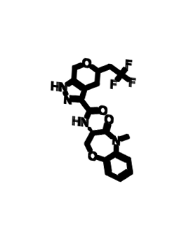 CN1C(=O)[C@@H](NC(=O)c2n[nH]c3c2CC(CC(F)(F)F)OC3)COc2ccccc21